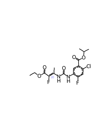 CCOC(=O)/C(F)=C(\C)NC(=O)Nc1cc(C(=O)OC(C)C)c(Cl)cc1F